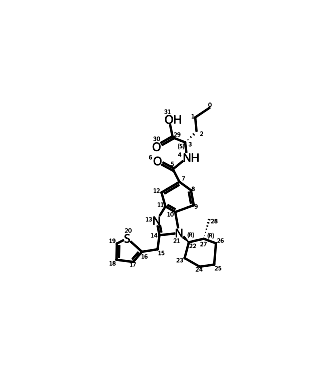 CCC[C@H](NC(=O)c1ccc2c(c1)nc(Cc1cccs1)n2[C@@H]1CCCC[C@H]1C)C(=O)O